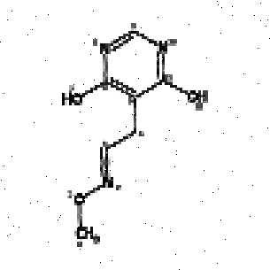 CON=CCc1c(O)ncnc1O